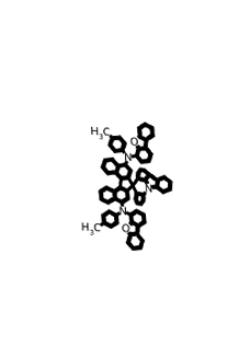 Cc1ccc(N(c2cc3c(c4ccccc24)-c2c(cc(N(c4ccc(C)cc4)c4cccc5c4oc4ccccc45)c4ccccc24)C32c3ccccc3-n3c4ccccc4c4cccc2c43)c2cccc3c2oc2ccccc23)cc1